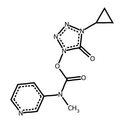 CN(C(=O)On1nnn(C2CC2)c1=O)c1cccnc1